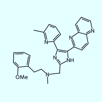 COc1ccccc1CCN(C)Cc1nc(-c2cccc(C)n2)c(-c2ccc3ncccc3n2)[nH]1